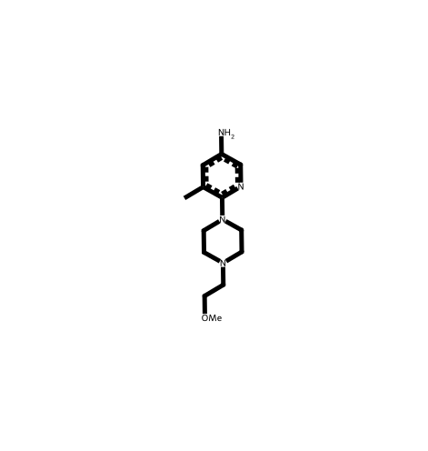 COCCN1CCN(c2ncc(N)cc2C)CC1